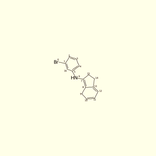 Brc1cccc(NC2=C3CC=CC=C3CC2)c1